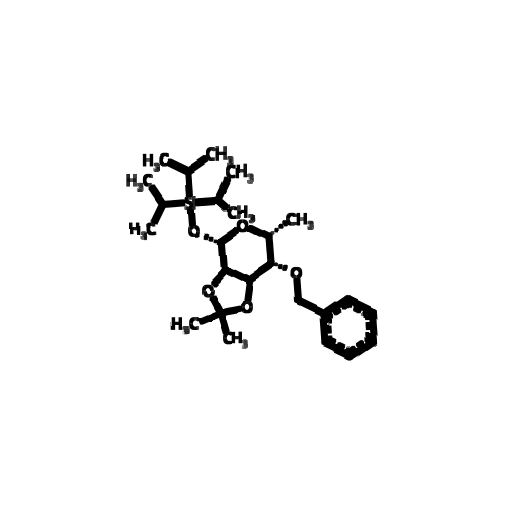 CC(C)[Si](O[C@@H]1O[C@H](C)[C@H](OCc2ccccc2)C2OC(C)(C)OC21)(C(C)C)C(C)C